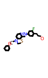 O=CCCc1ccc(NCc2cccc3c2SCCN3CCOc2ccccc2)cc1F